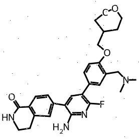 CN(C)Cc1cc(-c2cc(-c3ccc4c(c3)CCNC4=O)c(N)nc2F)ccc1OCC1CCOCC1